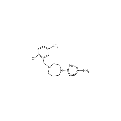 Nc1ccc(N2CCCN(Cc3cc(C(F)(F)F)ccc3Cl)CC2)nc1